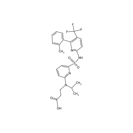 Cc1ccccc1-c1nc(NS(=O)(=O)c2cccc(N(CCC(=O)O)C(C)C)n2)ccc1C(F)(F)F